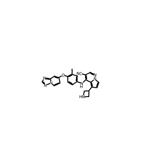 Cc1cc(Nc2c(C#N)cnn3ccc(C4CNC4)c23)ccc1Oc1ccn2ncnc2c1